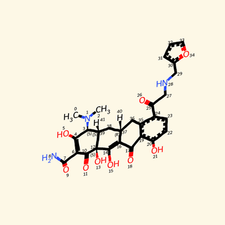 CN(C)[C@@H]1C(O)=C(C(N)=O)C(=O)[C@@]2(O)C(O)=C3C(=O)c4c(O)ccc(C(=O)CNCc5ccco5)c4C[C@H]3C[C@@H]12